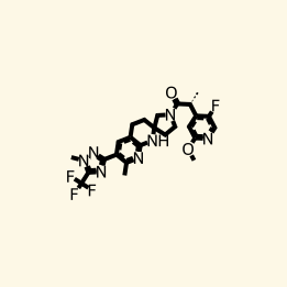 COc1cc([C@@H](C)C(=O)N2CCC3(CCc4cc(-c5nc(C(F)(F)F)n(C)n5)c(C)nc4N3)C2)c(F)cn1